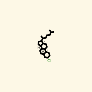 CC(C)CCCC(C)C1CC[C@H]2[C@@H]3CC=C4C[C@@H](Cl)CC[C@]4(C)C3CC[C@]12C